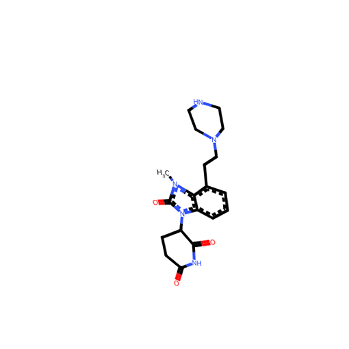 Cn1c(=O)n(C2CCC(=O)NC2=O)c2cccc(CCN3CCNCC3)c21